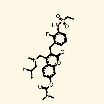 CCS(=O)(=O)Nc1cccc(Cc2c(CN(C)CC(F)F)c3ccc(OC(=O)N(C)C)cc3oc2=O)c1F